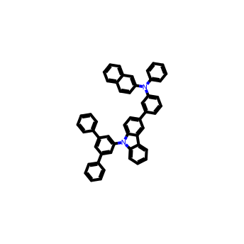 c1ccc(-c2cc(-c3ccccc3)cc(-n3c4ccccc4c4cc(-c5cccc(N(c6ccccc6)c6ccc7ccccc7c6)c5)ccc43)c2)cc1